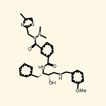 COc1cccc(CNC[C@H](O)[C@H](Cc2ccccc2)NC(=O)c2cccc(C(=O)N(Cc3nc(C)cs3)N(C)C)c2)c1